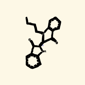 CCCCN1/C(=C2/Nc3ccccc3C2=O)C(=O)c2ccccc21